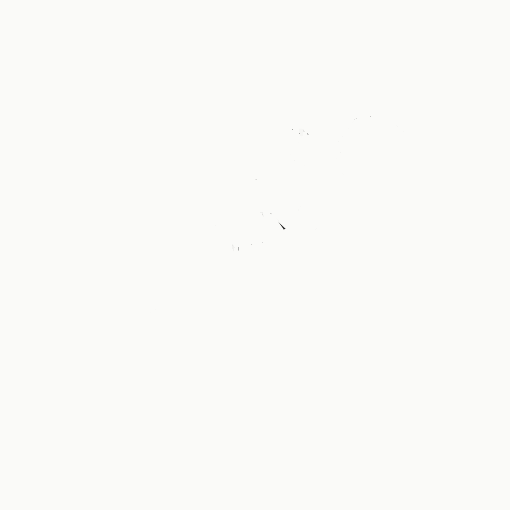 S=C1c2c([nH]c3c2CCCCCC3)C[C@@H]2CCN(CCCOc3ccccc3)C[C@@H]12